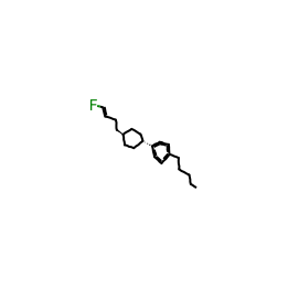 CCCCCc1ccc([C@H]2CC[C@H](CCC=CF)CC2)cc1